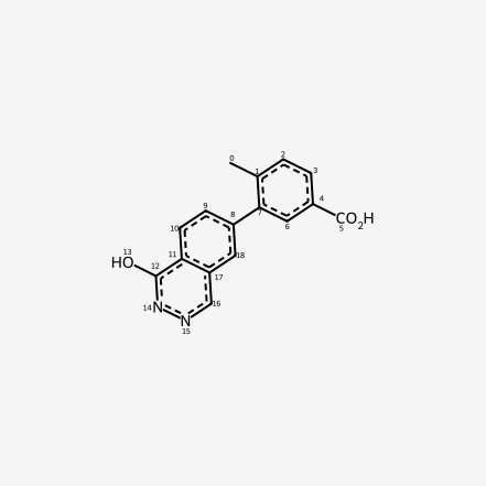 Cc1ccc(C(=O)O)cc1-c1ccc2c(O)nncc2c1